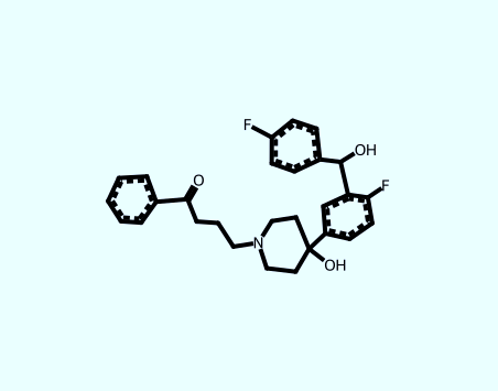 O=C(CCCN1CCC(O)(c2ccc(F)c(C(O)c3ccc(F)cc3)c2)CC1)c1ccccc1